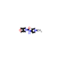 CN1CCC(NC(=O)N2CC3COCC3C2)CC1